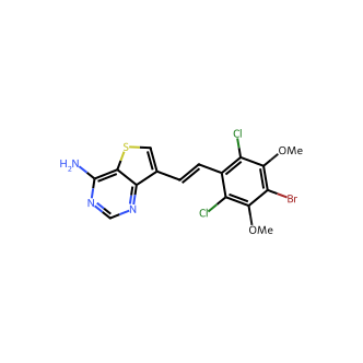 COc1c(Cl)c(C=Cc2csc3c(N)ncnc23)c(Cl)c(OC)c1Br